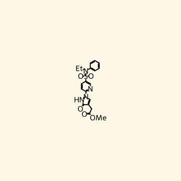 CCN(c1ccccc1)S(=O)(=O)c1ccc(-n2cc(CC(=O)OC)c(=O)[nH]2)nc1